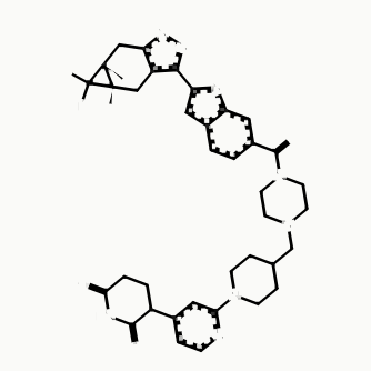 C[C@@]12Cc3[nH]nc(-c4cc5ccc(C(=O)N6CCN(CC7CCN(c8cc(C9CCC(=O)NC9=O)ccn8)CC7)CC6)cc5[nH]4)c3C[C@@H]1C2(F)F